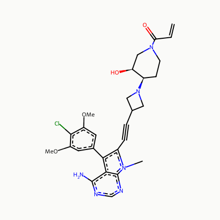 C=CC(=O)N1CC[C@@H](N2CC(C#Cc3c(-c4cc(OC)c(Cl)c(OC)c4)c4c(N)ncnc4n3C)C2)[C@@H](O)C1